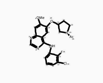 COc1cc2ncnc(Nc3cccc(Cl)c3F)c2cc1OC1CCN(C(C)=O)C1